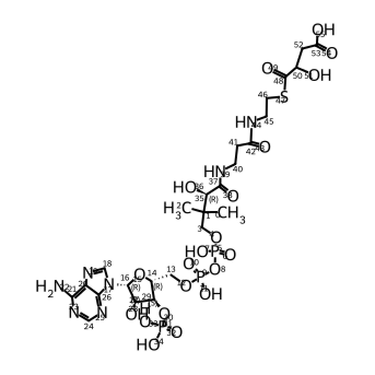 CC(C)(COP(=O)(O)OP(=O)(O)OC[C@H]1O[C@@H](n2cnc3c(N)ncnc32)[C@H](O)[C@@H]1OP(=O)(O)O)[C@@H](O)C(=O)NCCC(=O)NCCSC(=O)C(O)CC(=O)O